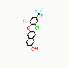 Oc1ccc2cc(Oc3c(Cl)cc(C(F)(F)F)cc3Cl)ccc2c1